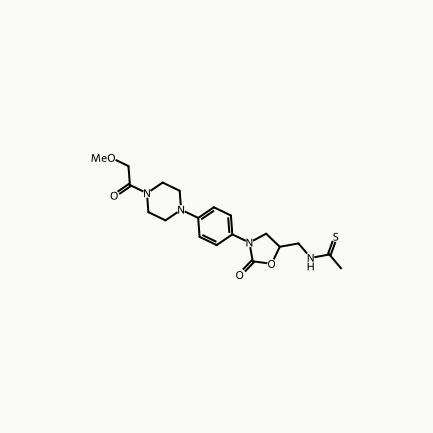 COCC(=O)N1CCN(c2ccc(N3CC(CNC(C)=S)OC3=O)cc2)CC1